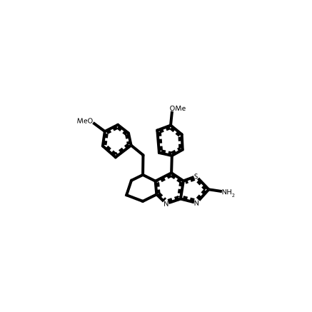 COc1ccc(CC2CCCc3nc4nc(N)sc4c(-c4ccc(OC)cc4)c32)cc1